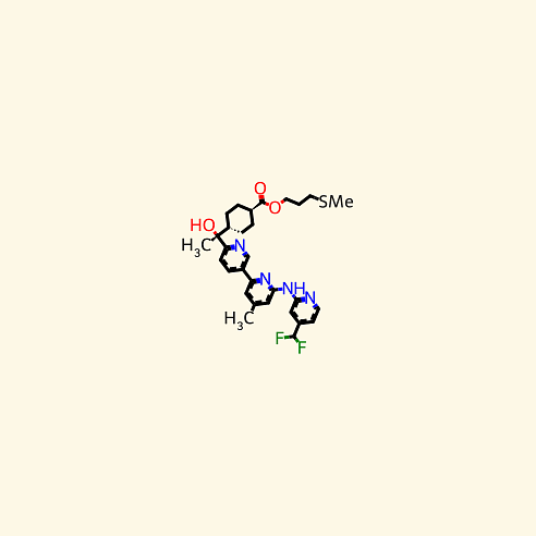 CSCCCOC(=O)[C@H]1CC[C@H]([C@@](C)(O)c2ccc(-c3cc(C)cc(Nc4cc(C(F)F)ccn4)n3)cn2)CC1